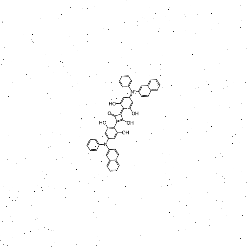 O=C1C(=C2C(O)=CC(=[N+](c3ccccc3)c3ccc4ccccc4c3)C=C2O)C(O)=C1c1c(O)cc(N(c2ccccc2)c2ccc3ccccc3c2)cc1O